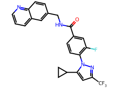 O=C(NCc1ccc2ncccc2c1)c1ccc(-n2nc(C(F)(F)F)cc2C2CC2)c(F)c1